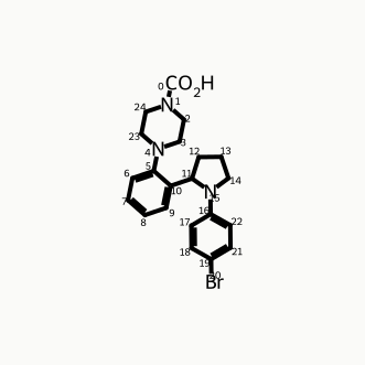 O=C(O)N1CCN(c2ccccc2C2CCCN2c2ccc(Br)cc2)CC1